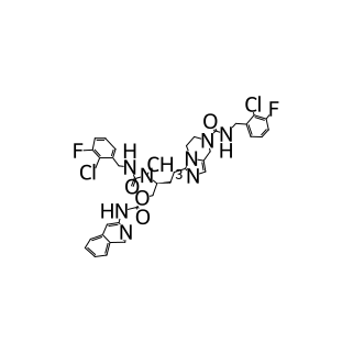 CN(C(=O)NCc1cccc(F)c1Cl)[C@@H](CCc1ncc2n1CCN(C(=O)NCc1cccc(F)c1Cl)C2)COC(=O)Nc1cc2ccccc2cn1